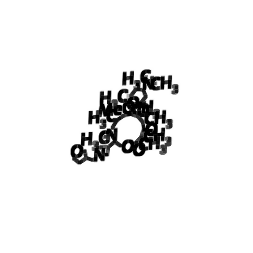 CO[C@]1(C)C[C@@H](C)CN(C)C(C2CN(CC3CCOC3)C2)COC(=O)C(C)(C)C(=O)[C@H](C)[C@H]1O[C@H]1C[C@@H](N(C)C)C[C@@H](C)O1